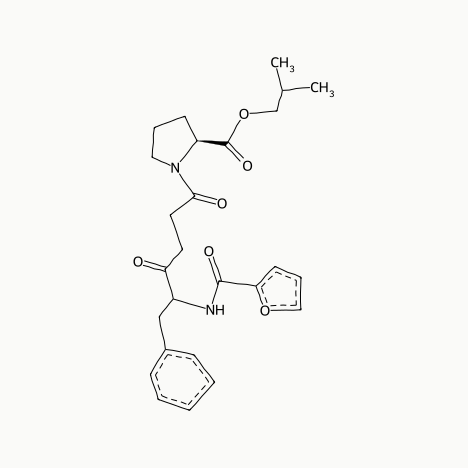 CC(C)COC(=O)[C@@H]1CCCN1C(=O)CCC(=O)C(Cc1ccccc1)NC(=O)c1ccco1